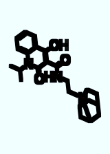 CC(C)n1c(=O)c(C(=O)NCCN2C3CC4CC(C3)CC2C4)c(O)c2ccccc21